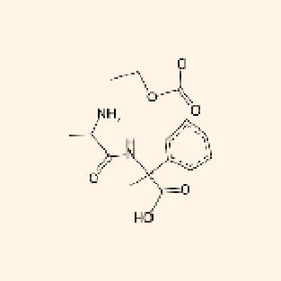 CC(N)C(=O)NC(C)(C(=O)O)c1ccccc1.CCOC(=O)Cl